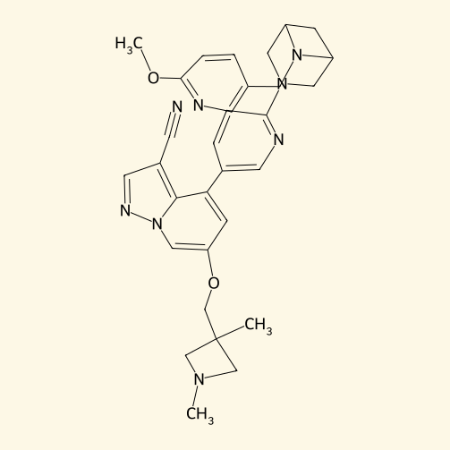 COc1ccc(CN2C3CC2CN(c2ccc(-c4cc(OCC5(C)CN(C)C5)cn5ncc(C#N)c45)cn2)C3)cn1